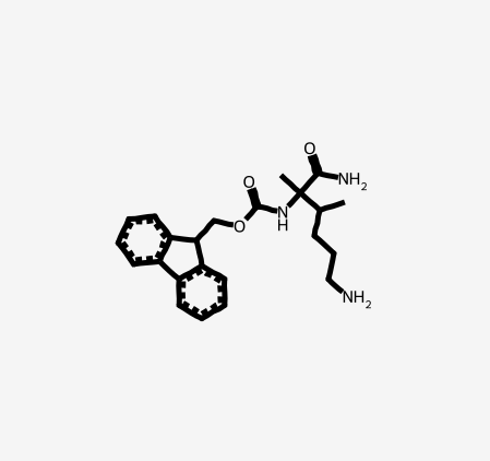 CC(CCCN)C(C)(NC(=O)OCC1c2ccccc2-c2ccccc21)C(N)=O